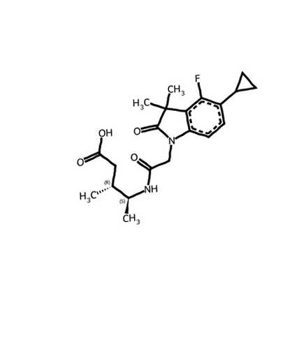 C[C@H](CC(=O)O)[C@H](C)NC(=O)CN1C(=O)C(C)(C)c2c1ccc(C1CC1)c2F